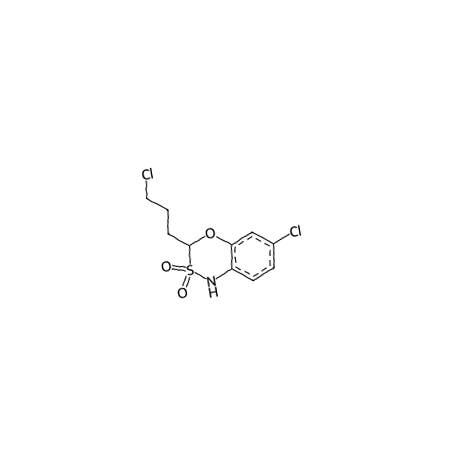 O=S1(=O)Nc2ccc(Cl)cc2OC1CCCCl